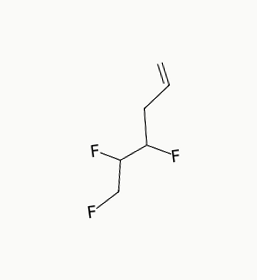 C=CCC(F)C(F)CF